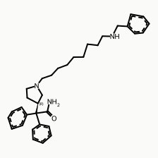 NC(=O)C(c1ccccc1)(c1ccccc1)[C@H]1CCN(CCCCCCCCCNCc2ccccc2)C1